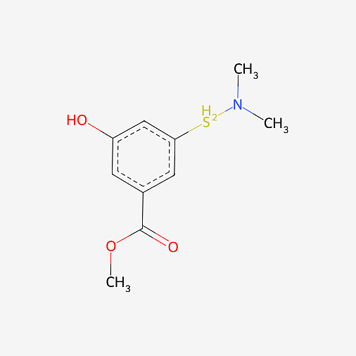 COC(=O)c1cc(O)cc([SH2]N(C)C)c1